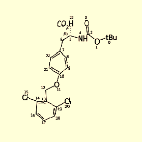 CC(C)(C)OC(=O)N[C@H](Cc1ccc(OCc2c(Cl)cccc2Cl)cc1)C(=O)O